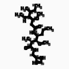 CCC[C@H](NC(=O)CC(OC)[C@@H](NC)C(C)CC)[C@H](OC)[C@@H](C)C(=O)NCC1NC=[SH]1